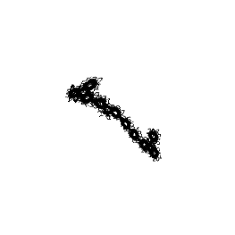 CC1(C)c2cc(-c3ccc(-c4ccc(-c5ccc6c7ccccc7n(-c7ccccc7)c6c5)cc4)cc3)ccc2-c2ccc(-c3ccc4c(c3)c3ccccc3c3nccnc43)cc21